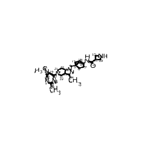 CC1=NN(CC23CCC(NC(=O)C4CNC4)(CC2)C3)C2CCN(c3nc(C)nc4c3N4C)CC12